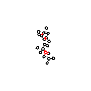 c1ccc(-c2cc(-c3ccccc3)cc(N(c3ccccc3-c3cccc(-c4cc(-c5ccc(N(c6ccc(-c7ccc8c(ccc9ccccc98)c7)cc6)c6ccccc6-c6cccc(-c7cccc8c7c7ccccc7n8-c7ccccc7)c6)c6ccccc56)cc5c4c4ccccc4n5-c4ccccc4)c3)c3cccc4ccccc34)c2)cc1